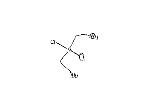 CCC(C)C[Si](Cl)(Cl)CC(C)CC